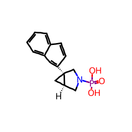 O=P(O)(O)N1C[C@H]2C[C@@]2(c2ccc3ccccc3c2)C1